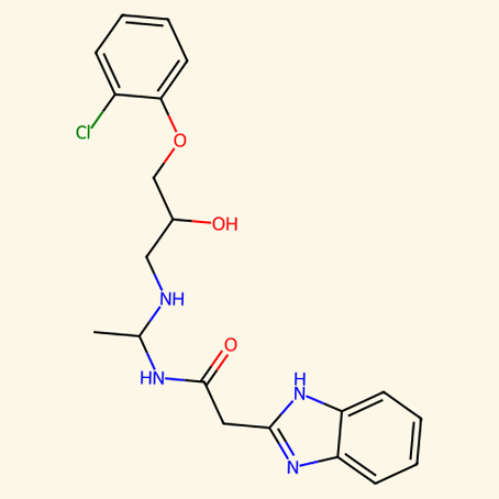 CC(NCC(O)COc1ccccc1Cl)NC(=O)Cc1nc2ccccc2[nH]1